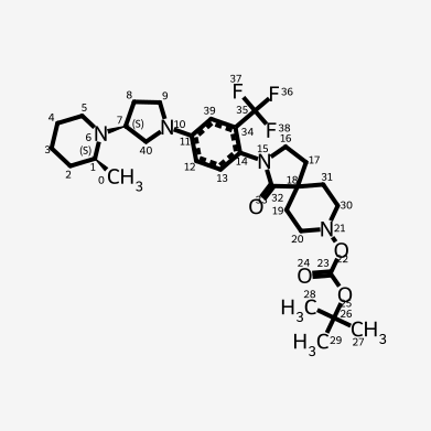 C[C@H]1CCCCN1[C@H]1CCN(c2ccc(N3CCC4(CCN(OC(=O)OC(C)(C)C)CC4)C3=O)c(C(F)(F)F)c2)C1